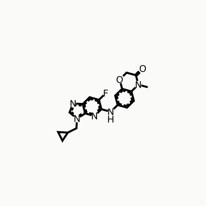 CN1C(=O)COc2cc(Nc3nc4c(cc3F)ncn4CC3CC3)ccc21